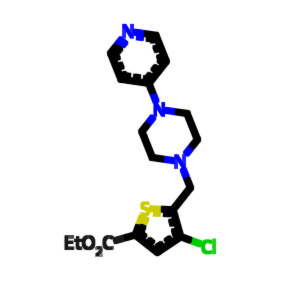 CCOC(=O)c1cc(Cl)c(CN2CCN(c3ccncc3)CC2)s1